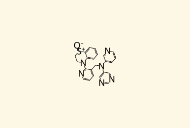 [O-][S+]1CCN(c2ncccc2CN(c2cccnc2)c2cncnc2)c2ccccc21